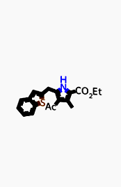 CCOC(=O)c1[nH]c(Cc2cc3ccccc3s2)c(C(C)=O)c1C